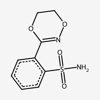 NS(=O)(=O)c1ccccc1C1=NOCCO1